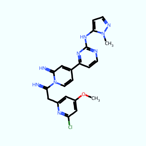 COc1cc(Cl)nc(CC(=N)n2ccc(-c3ccnc(Nc4ccnn4C)n3)cc2=N)c1